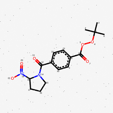 CC(C)(C)OOC(=O)c1ccc(C(=O)N2CCCC2[N+](=O)[O-])cc1